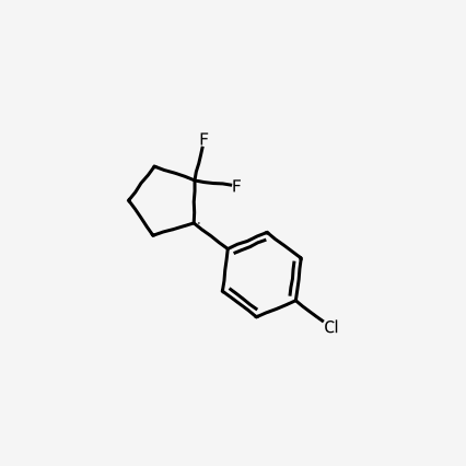 FC1(F)CCC[C]1c1ccc(Cl)cc1